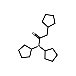 O=C(CC1CCCC1)N(C1CCCC1)C1CCCC1